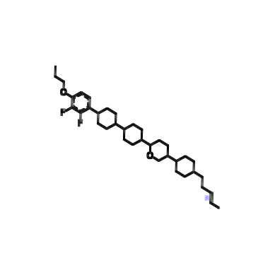 C/C=C/CCC1CCC(C2CCC(C3CCC(C4CCC(c5ccc(OCCC)c(F)c5F)CC4)CC3)OC2)CC1